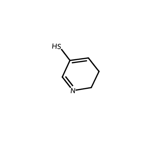 SC1=CCCN=C1